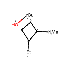 CCC1CCC1NC.CCCCO